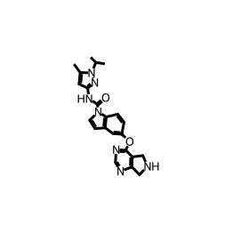 Cc1cc(NC(=O)n2ccc3cc(Oc4ncnc5c4CNC5)ccc32)nn1C(C)C